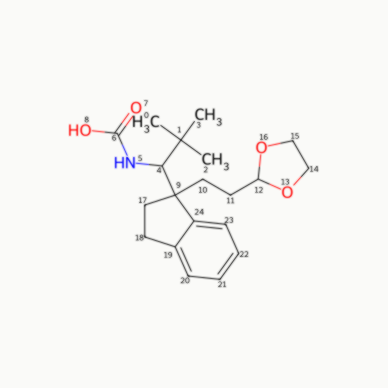 CC(C)(C)C(NC(=O)O)C1(CCC2OCCO2)CCc2ccccc21